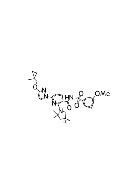 COc1cccc(S(=O)(=O)NC(=O)c2ccc(-n3ccc(OCC4(C)CC4)n3)nc2N2C[C@@H](C)CC2(C)C)c1